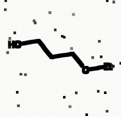 C[CH]OCCCO